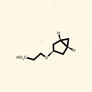 O=C(O)CCO[C@H]1C[C@@H]2C[C@@H]2C1